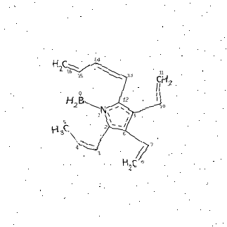 Bn1c(/C=C\C)c(C=C)c(C=C)c1/C=C\C=C